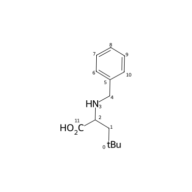 CC(C)(C)CC(NCc1ccccc1)C(=O)O